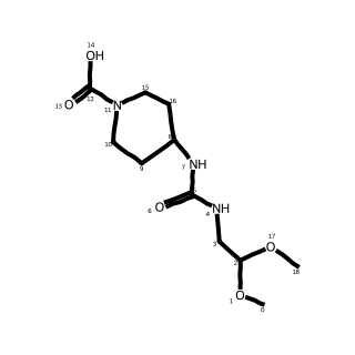 COC(CNC(=O)NC1CCN(C(=O)O)CC1)OC